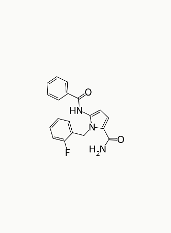 NC(=O)c1ccc(NC(=O)c2ccccc2)n1Cc1ccccc1F